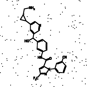 N#Cc1cccc(-n2nc(C(F)(F)F)cc2C(=O)Nc2cccc(C(O)c3cncc(C4CC4CN)c3)c2)c1